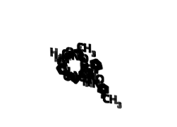 CCc1cccc(NC(=O)N[C@@H](Cc2ccccc2)C(=O)N[C@H]2COC(=O)C3C[C@@H](C)CN3C(=O)[C@H](C)NC(=O)[C@@H]3CCCCN3C(=O)[C@@H]3CCCN3C2=O)c1